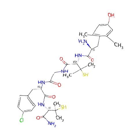 Cc1cc(O)cc(C)c1C[C@H](N)C(=O)N[C@@H](C(=O)NCC(=O)N[C@@H](Cc1ccc(Cl)cc1)C(=O)N[C@@H](C(N)=O)C(C)(C)S)C(C)(C)S